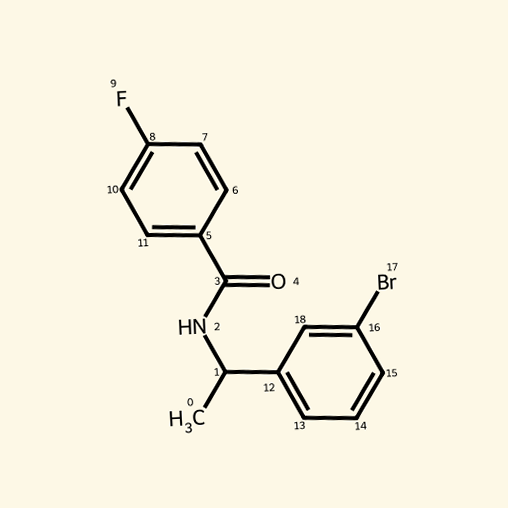 CC(NC(=O)c1ccc(F)cc1)c1cccc(Br)c1